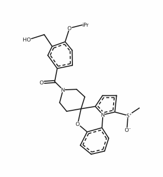 CC(C)Oc1ccc(C(=O)N2CCC3(CC2)Oc2ccccc2-n2c([S+](C)[O-])ccc23)cc1CO